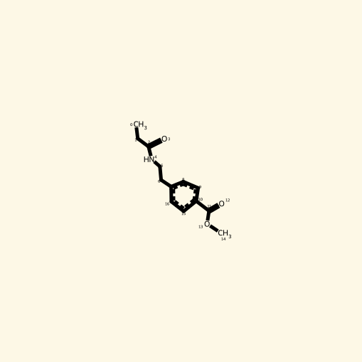 CCC(=O)NCCc1ccc(C(=O)OC)cc1